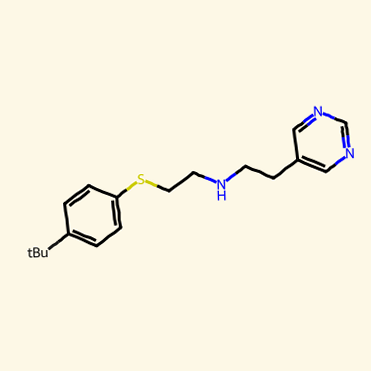 CC(C)(C)c1ccc(SCCNCCc2cncnc2)cc1